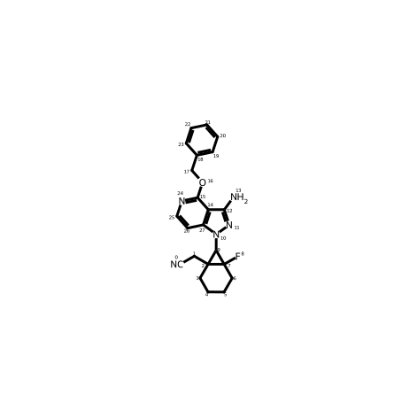 N#CCC12CCCCC1(F)C2n1nc(N)c2c(OCc3ccccc3)nccc21